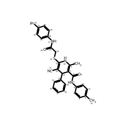 CC1=C(C(=O)Nc2ccc(C)cc2)C(c2ccccc2)C(C#N)=C(SCC(=O)Nc2ccc(C(C)C)cc2)N1